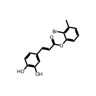 Cc1cccc(OC(=O)C=Cc2ccc(O)c(O)c2)c1Br